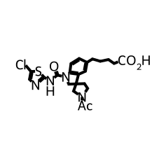 CC(=O)N1CCC2(C1)CN(C(=O)Nc1ncc(Cl)s1)c1ccc(CCCCC(=O)O)cc12